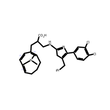 CC(C)CC1=C(c2ccc(Cl)c(Cl)c2)N=C(NCC(CC2=C/CCC/C=C(N(C)C)/C=C\2)C(=O)O)C1